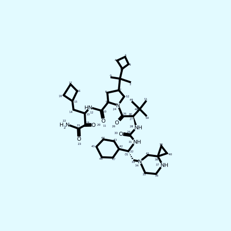 CC(C)(C1CCC1)C1CC(C(=O)NC(CC2CCC2)C(=O)C(N)=O)N(C(=O)[C@H](NC(=O)N[C@H](CN2CCNC3(CC3)C2)C2CCCCC2)C(C)(C)C)C1